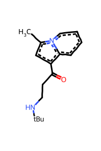 Cc1cc(C(=O)CCNC(C)(C)C)c2ccccn12